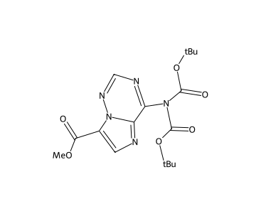 COC(=O)c1cnc2c(N(C(=O)OC(C)(C)C)C(=O)OC(C)(C)C)ncnn12